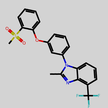 Cc1nc2c(C(F)(F)F)cccc2n1-c1cccc(Oc2ccccc2S(C)(=O)=O)c1